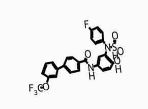 O=C(Nc1ccc(O)c(N(c2ccc(F)cc2)[SH](=O)=O)c1)c1ccc(-c2cccc(OC(F)(F)F)c2)cc1